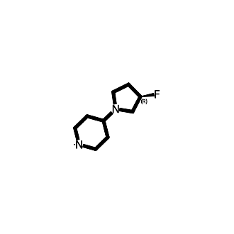 F[C@@H]1CCN(C2CC[N]CC2)C1